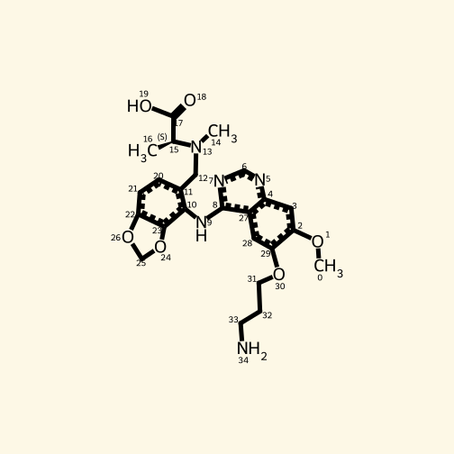 COc1cc2ncnc(Nc3c(CN(C)[C@@H](C)C(=O)O)ccc4c3OCO4)c2cc1OCCCN